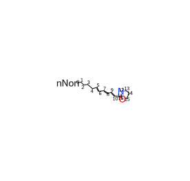 CCCCCCCCCCCCCC=CC=CC=CC1=NCCCO1